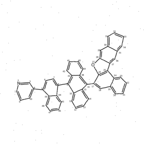 c1cncc(-c2ccc(-c3c4ccccc4c(-c4cc5ccccc5c5c4oc4cc6ccccc6cc45)c4ccccc34)c3ccccc23)c1